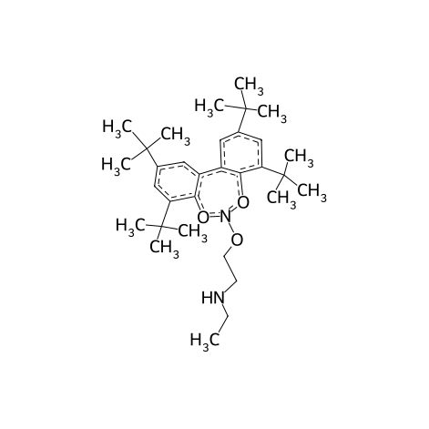 CCNCCOn1oc2c(C(C)(C)C)cc(C(C)(C)C)cc2c2cc(C(C)(C)C)cc(C(C)(C)C)c2o1